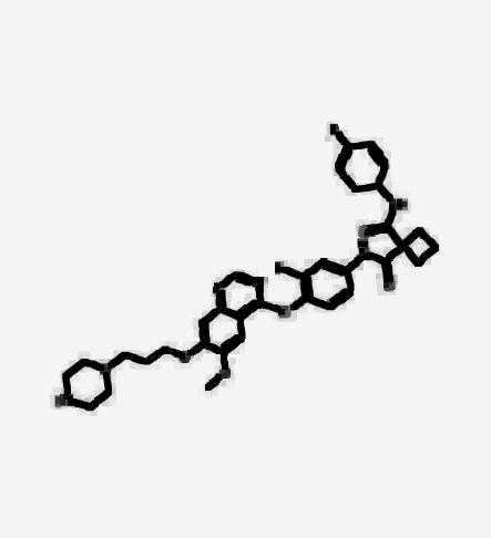 COc1cc2c(Oc3ccc(NC(=O)C4(C(=O)NC5C=CC(F)=CC5)CCC4)cc3F)ncnc2cc1OCCCN1CCNCC1